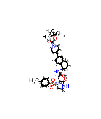 Cc1ccc(S(=O)(=O)N2CCNC(=O)[C@H]2CC(=O)N[C@@H]2CCCc3cc(C4=CCN(C(=O)OC(C)(C)C)CC4)ccc32)cc1